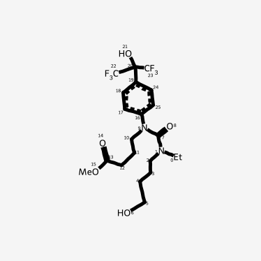 CCN(CCCCO)C(=O)N(CCCC(=O)OC)c1ccc(C(O)(C(F)(F)F)C(F)(F)F)cc1